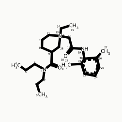 CCCN(CCC)C(=O)C1CCC[N+](CC)(CC(=O)Nc2c(C)cccc2C)C1